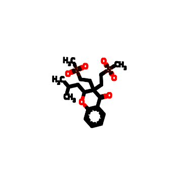 CC(C)CC1Oc2ccccc2C(=O)C1(CCS(C)(=O)=O)CCS(C)(=O)=O